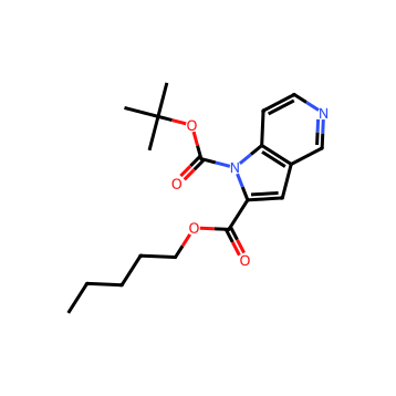 CCCCCOC(=O)c1cc2cnccc2n1C(=O)OC(C)(C)C